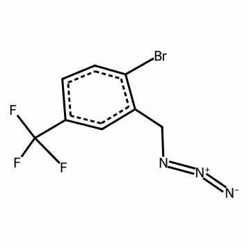 [N-]=[N+]=NCc1cc(C(F)(F)F)ccc1Br